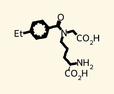 CCc1ccc(C(=O)N(CCC[C@H](N)C(=O)O)CC(=O)O)cc1